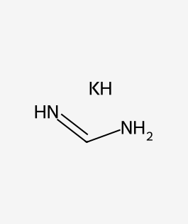 N=CN.[KH]